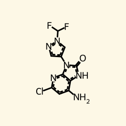 Nc1cc(Cl)nc2c1[nH]c(=O)n2-c1cnn(C(F)F)c1